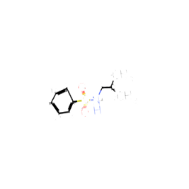 C[C](C)CNS(=O)(=O)c1ccccc1